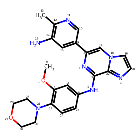 COc1cc(Nc2nc(-c3cnc(C)c(N)c3)cn3ccnc23)ccc1N1CCOCC1